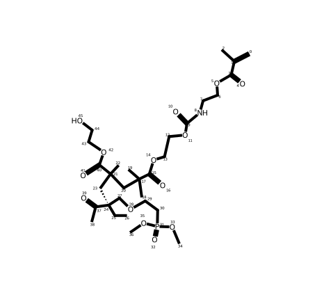 C=C(C)C(=O)OCCNC(=O)OCCOC(=O)C(C)(C)CC(C)(C[C@@](CC)(COCCP(=O)(OC)OC)C(C)=O)C(=O)OCCO